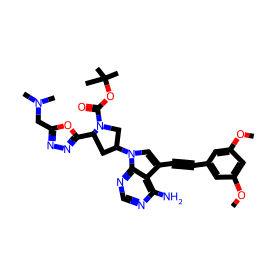 COc1cc(C#Cc2cn(C3CC(c4nnc(CN(C)C)o4)N(C(=O)OC(C)(C)C)C3)c3ncnc(N)c23)cc(OC)c1